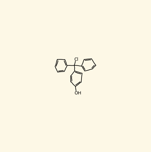 Oc1ccc(C(Cl)(c2ccccc2)c2ccccc2)cc1